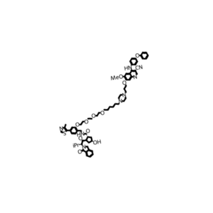 COc1cc2c(Nc3ccc(Oc4ccccc4)cc3)c(C#N)cnc2cc1OCCCN1CCN(CCCCCCOCCOCCOCCOc2cc(-c3scnc3C)ccc2CNC(=O)[C@@H]2C[C@@H](O)CC2C(=O)[C@H](C(C)C)N2Cc3ccccc3C2=O)CC1